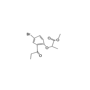 CCC(=O)c1cc(Br)ccc1OC(C)C(=O)OC